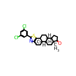 C[C@]12CCc3nc(-c4cc(Cl)cc(Cl)c4)sc3C1CC[C@@H]1[C@@H]2CC[C@]2(C)C(=O)CC[C@@H]12